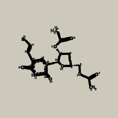 CC(=O)OC[C@H]1C[C@@H](OC(C)=O)[C@H](n2cc(/C=C/Br)c(=O)[nH]c2=O)O1